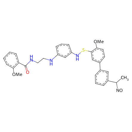 COc1ccc(-c2cccc(C(C)N=O)c2)cc1SNc1cccc(NCCNC(=O)c2ccccc2OC)c1